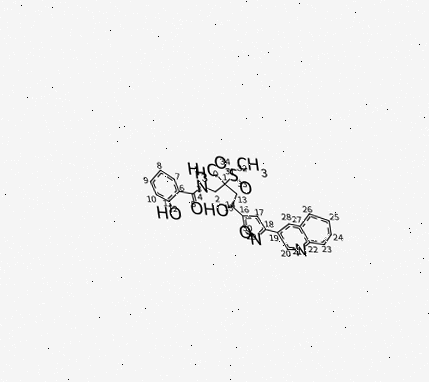 CC(CNC(=O)c1ccccc1O)(CC(O)c1cc(-c2cnc3ccccc3c2)no1)S(C)(=O)=O